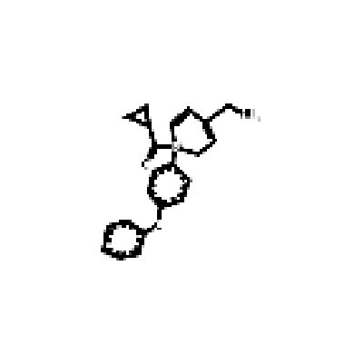 NCC1=CC[N+](C(=O)C2CC2)(c2ccc(Oc3ccccc3)cc2)C=C1